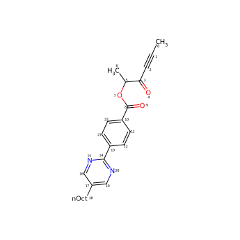 CC#CC(=O)C(C)OC(=O)c1ccc(-c2ncc(CCCCCCCC)cn2)cc1